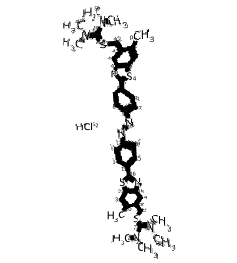 Cc1cc2sc(-c3ccc(N=Nc4ccc(-c5nc6cc(CSC(N(C)C)N(C)C)c(C)cc6s5)cc4)cc3)nc2cc1CSC(N(C)C)N(C)C.Cl